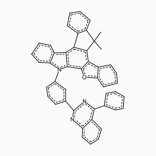 CC1(C)c2ccccc2-c2c1c1c3ccccc3oc1c1c2c2ccccc2n1-c1cccc(-c2nc(-c3ccccc3)c3ccccc3n2)c1